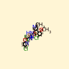 COc1ccc(Cl)c(F)c1-c1cc(C)ncc1C(=O)Nc1nnc(C(F)(F)Oc2ccc(Cl)cn2)s1